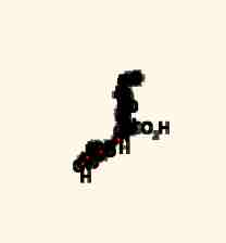 Cc1cc(N2CC[C@](C)(c3ccccc3)C2)cn2nc(C(=O)N3CC[C@@]4(CCN(c5cc(NC(=O)CCCCC(=O)Nc6cccc7c(C8CCC(=O)NC8=O)nn(C)c67)cc(C(=O)O)n5)C4)C3)nc12